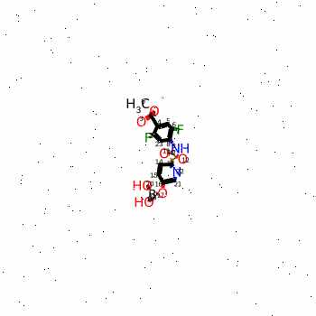 COC(=O)c1cc(F)c(NS(=O)(=O)c2ccc(OB(O)O)cn2)cc1F